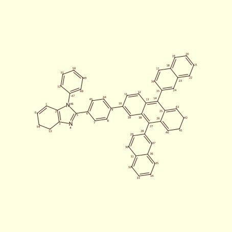 C1=Cc2c(nc(-c3ccc(-c4ccc5c(-c6ccc7ccccc7c6)c6c(c(-c7ccc8ccccc8c7)c5c4)=CCCC=6)cc3)n2-c2ccccc2)CC1